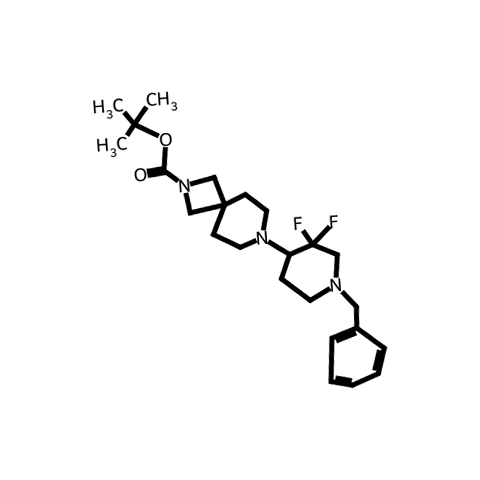 CC(C)(C)OC(=O)N1CC2(CCN(C3CCN(Cc4ccccc4)CC3(F)F)CC2)C1